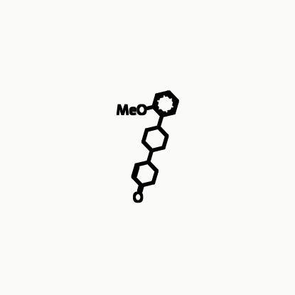 COc1ccccc1C1CCC(C2C=CC(=O)CC2)CC1